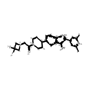 Cc1cc(-c2[nH]c3ccc(C4CCN(C(=O)CN5CC(F)(F)C5)CC4)cc3c2C(C)C)cc(C)n1